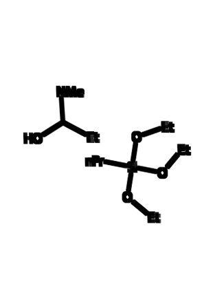 CCC(O)NC.CCC[Si](OCC)(OCC)OCC